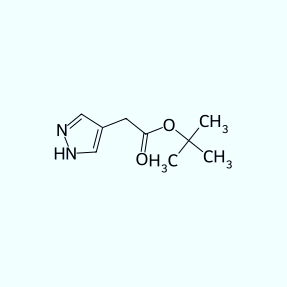 CC(C)(C)OC(=O)Cc1cn[nH]c1